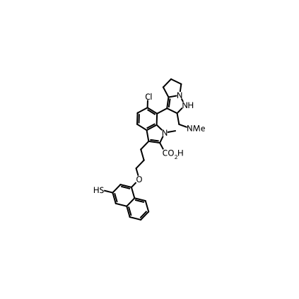 CNCC1NN2CCCC2=C1c1c(Cl)ccc2c(CCCOc3cc(S)cc4ccccc34)c(C(=O)O)n(C)c12